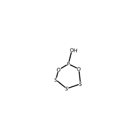 OP1OSSSO1